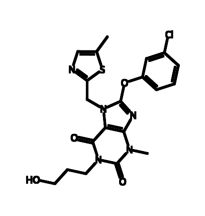 Cc1cnc(Cn2c(Oc3cccc(Cl)c3)nc3c2c(=O)n(CCCO)c(=O)n3C)s1